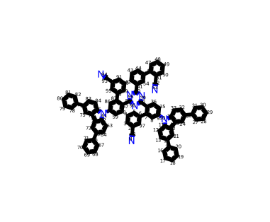 N#Cc1cccc(-c2cc(-n3c4ccc(-c5ccccc5)cc4c4cc(-c5ccccc5)ccc43)ccc2-c2nc(-c3cccc(-c4ccccc4C#N)c3)nc(-c3ccc(-n4c5ccc(-c6ccccc6)cc5c5cc(-c6ccccc6)ccc54)cc3-c3cccc(C#N)c3)n2)c1